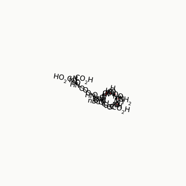 CCCC[C@H](NC(=O)CCC(=O)NCCCOCCOCCOCCCNC(=O)CN1CCN(CC(=O)O)CCN(CC(=O)O)CC1)C(O)N[C@H]1CSCc2cccc(c2)CSCC(C(=O)O)NC(=O)[C@H](Cc2ccccc2)NC(=O)[C@H](CCC(N)=O)NC(=O)[C@H]([C@@H](C)O)NC(=O)[C@@H]2CCCN2C(=O)[C@@H]2CCCN2C1=O